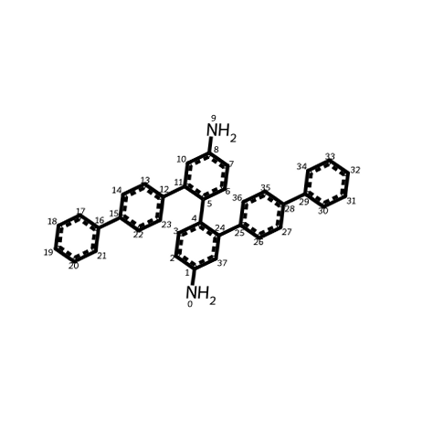 Nc1ccc(-c2ccc(N)cc2-c2ccc(-c3ccccc3)cc2)c(-c2ccc(-c3ccccc3)cc2)c1